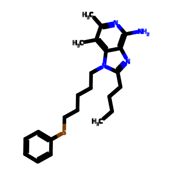 CCCCc1nc2c(N)nc(C)c(C)c2n1CCCCCSc1ccccc1